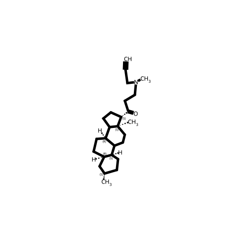 C#CCN(C)CCC(=O)[C@H]1CCC2[C@@H]3CC[C@@H]4C[C@@H](C)CC[C@@H]4C3CC[C@@]21C